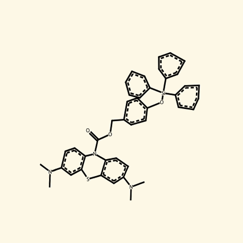 CN(C)c1ccc2c(c1)Sc1cc(N(C)C)ccc1N2C(=O)OCc1ccc(O[Si](c2ccccc2)(c2ccccc2)c2ccccc2)cc1